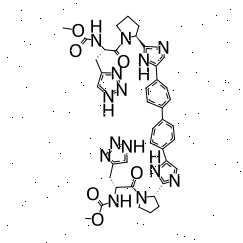 COC(=O)N[C@@H](Cc1c[nH]nn1)C(=O)N1CCC[C@H]1c1ncc(-c2ccc(-c3ccc(-c4cnc([C@@H]5CCCN5C(=O)[C@@H](Cc5c[nH]nn5)NC(=O)OC)[nH]4)cc3)cc2)[nH]1